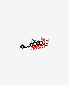 CC(=O)C1=C(O)C(C(C)C)[C@@]2(C)C[C@@]3(C)Cc4c(C(C)C)cc(CCCc5ccccc5)c(O)c4C(=O)C3=C(O)[C@@]2(O)C1=O